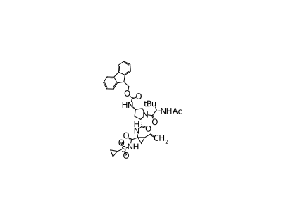 C=CC1CC1(NC(=O)[C@@H]1C[C@@H](NC(=O)OCC2c3ccccc3-c3ccccc32)CN1C(=O)[C@@H](NC(C)=O)C(C)(C)C)C(=O)NS(=O)(=O)C1CC1